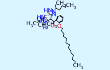 CCCCCCCCCCCCCCOc1ccccc1C(=O)C(C1=NN(C(CC)CCCC)NS1)C1(C)NN(C(C)(C)C)NS1